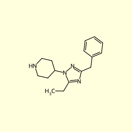 CCc1nc(Cc2ccccc2)nn1C1CCNCC1